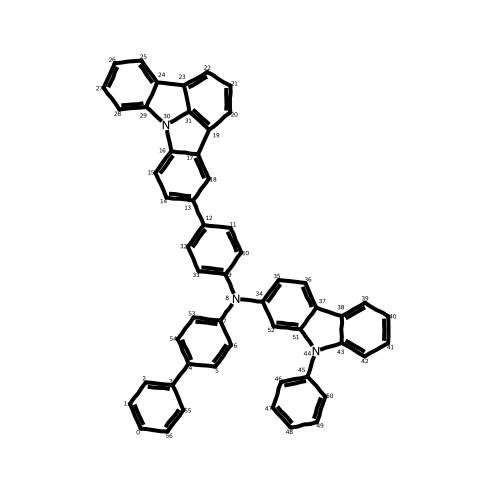 c1ccc(-c2ccc(N(c3ccc(-c4ccc5c(c4)c4cccc6c7ccccc7n5c64)cc3)c3ccc4c5ccccc5n(-c5ccccc5)c4c3)cc2)cc1